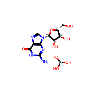 Nc1nc2c(ncn2[C@@H]2O[C@H](CO)[C@@H](O)[C@H]2O)c(=O)[nH]1.OB(O)O